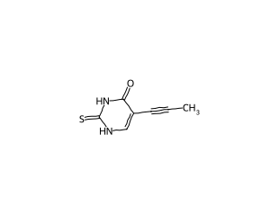 CC#Cc1c[nH]c(=S)[nH]c1=O